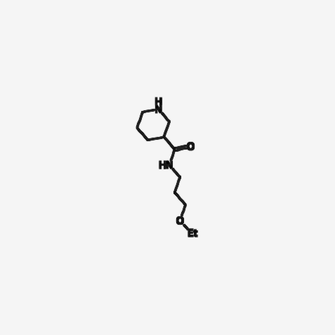 CCOCCCNC(=O)C1CCCNC1